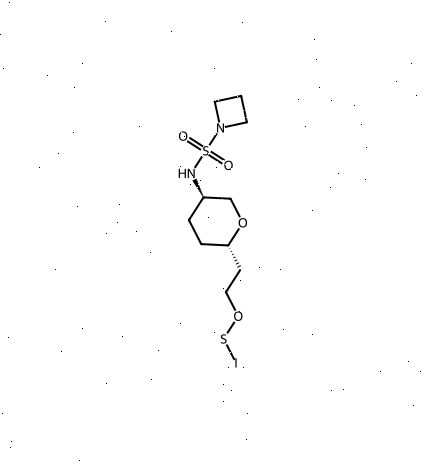 O=S(=O)(N[C@@H]1CC[C@@H](CCOSI)OC1)N1CCC1